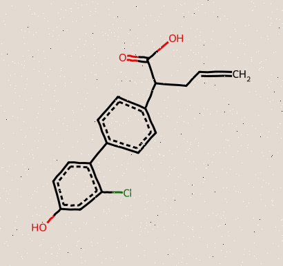 C=CCC(C(=O)O)c1ccc(-c2ccc(O)cc2Cl)cc1